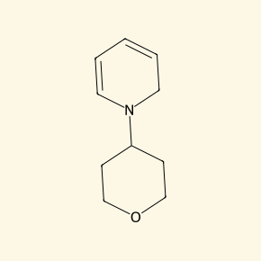 C1=CCN(C2CCOCC2)C=C1